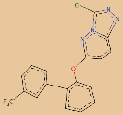 FC(F)(F)c1cccc(-c2ccccc2Oc2ccc3nnc(Cl)n3n2)c1